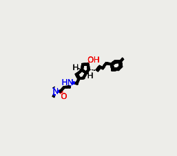 Cc1cccc(CC/C=C/[C@@H]2[C@H]3CC(CNCCC(=O)N(C)C)=C[C@H]3C[C@H]2O)c1